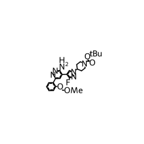 COCOc1ccccc1-c1cc(-c2cn(C3CCN(C(=O)OC(C)(C)C)CC3)nc2F)c(N)nn1